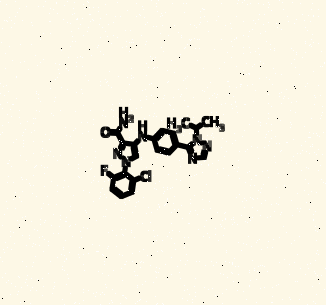 CC(C)n1ncnc1-c1ccc(Nc2cn(-c3c(F)cccc3Cl)nc2C(N)=O)cc1